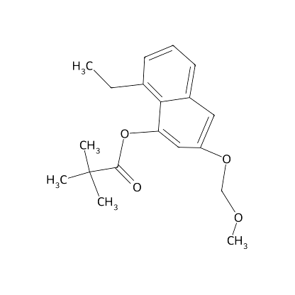 CCc1cccc2cc(OCOC)cc(OC(=O)C(C)(C)C)c12